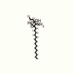 CCCCCCCCCCCCCCCC(=O)C(N)C(O)(O)CCC